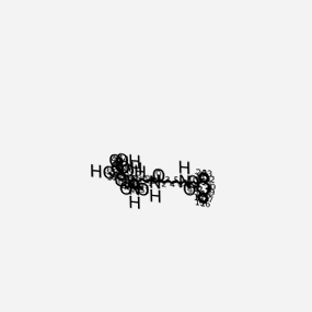 O=C(CCCCCNC(=O)OC1Cc2ccccc2C#Cc2ccccc21)NCCCc1cn([C@@H]2O[C@H](CO)C(OP(=O)(O)O)[C@@H]2O)c(=O)[nH]c1=O